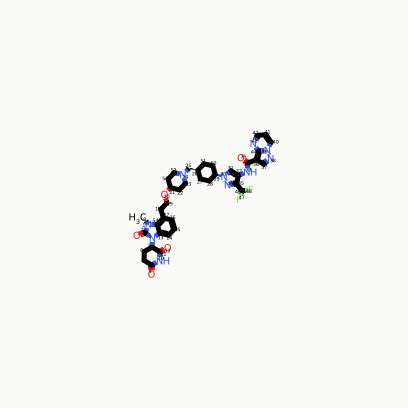 Cn1c(=O)n(C2CCC(=O)NC2=O)c2cccc(CCOC3CCN(C[C@H]4CC[C@H](n5cc(NC(=O)c6cnn7cccnc67)c(C(F)F)n5)CC4)CC3)c21